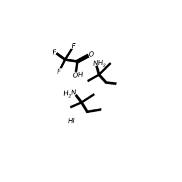 CCC(C)(C)N.CCC(C)(C)N.I.O=C(O)C(F)(F)F